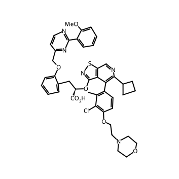 COc1ccccc1-c1nccc(COc2ccccc2C[C@@H](Oc2nsc3cnc(C4CCC4)c(-c4ccc(OCCN5CCOCC5)c(Cl)c4C)c23)C(=O)O)n1